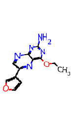 CCOc1nc(N)nc2ncc(-c3ccoc3)nc12